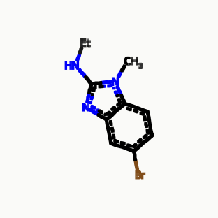 CCNc1nc2cc(Br)ccc2n1C